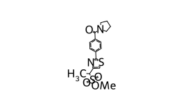 COS(=O)(=O)C(C)c1csc(-c2ccc(C(=O)N3CCCC3)cc2)n1